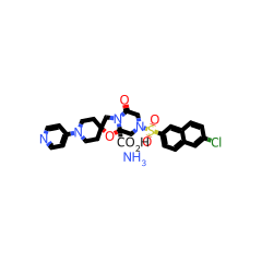 N.O=C1CN(S(=O)(=O)c2ccc3cc(Cl)ccc3c2)CC2(C(=O)O)OC3(CCN(c4ccncc4)CC3)CN12